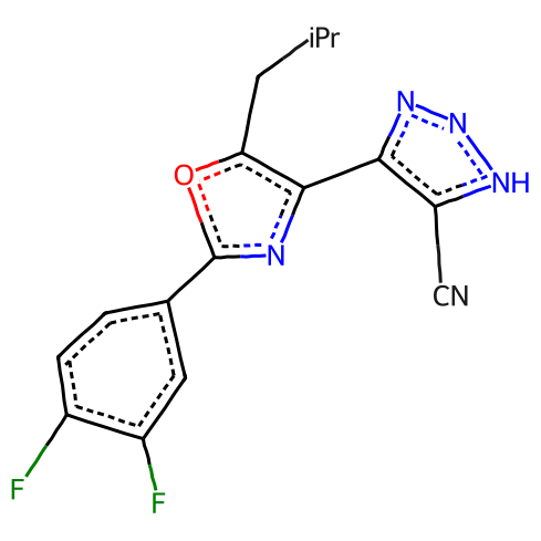 CC(C)Cc1oc(-c2ccc(F)c(F)c2)nc1-c1nn[nH]c1C#N